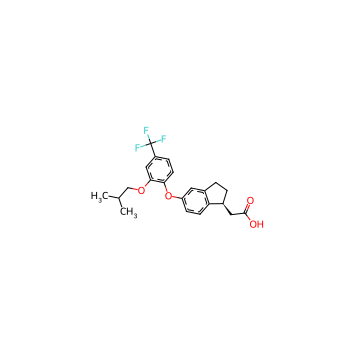 CC(C)COc1cc(C(F)(F)F)ccc1Oc1ccc2c(c1)CC[C@H]2CC(=O)O